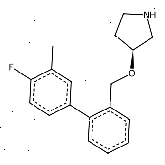 Cc1cc(-c2ccccc2CO[C@H]2CCNC2)ccc1F